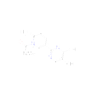 C=C1C=CC(c2ncc(C)c(C)n2)=CN1C(=O)NC